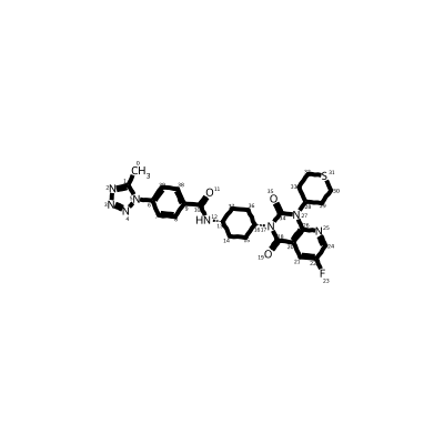 Cc1nnnn1-c1ccc(C(=O)N[C@H]2CC[C@@H](n3c(=O)c4cc(F)cnc4n(C4CCSCC4)c3=O)CC2)cc1